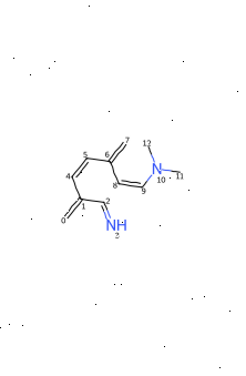 C=C(C=N)/C=C\C(=C)/C=C\N(C)C